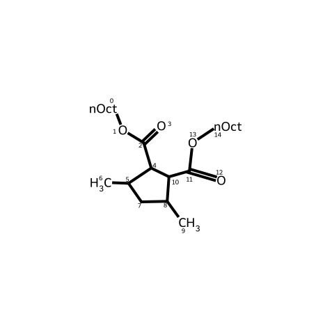 CCCCCCCCOC(=O)C1C(C)CC(C)C1C(=O)OCCCCCCCC